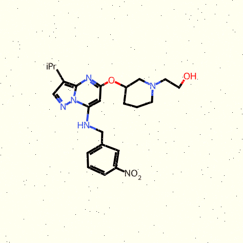 CC(C)c1cnn2c(NCc3cccc([N+](=O)[O-])c3)cc(OC3CCCN(CCO)C3)nc12